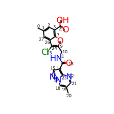 Cc1cc(C(=O)O)c2oc(CNC(=O)c3cnn4cc(C)cnc34)c(Cl)c2c1